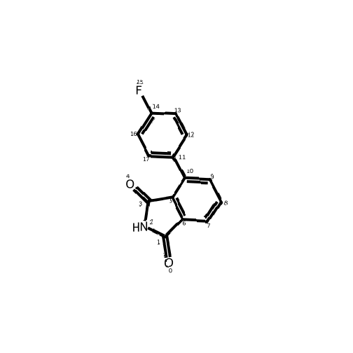 O=C1NC(=O)c2c1cccc2-c1ccc(F)cc1